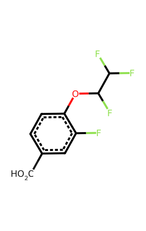 O=C(O)c1ccc(OC(F)C(F)F)c(F)c1